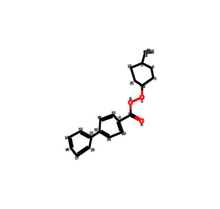 CCCCC1CC[C](OOC(=O)c2ccc(-c3ccccc3)cc2)CC1